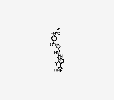 C=CC(=O)Nc1ccc(C(=O)N2CCC(CNc3nc4ccc(-c5cn[nH]c5)c(C(C)C)n4n3)C2)cc1